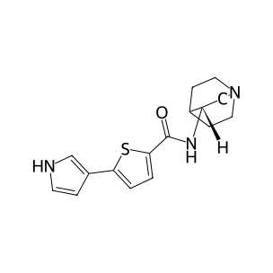 O=C(N[C@H]1CN2CCC1CC2)c1ccc(-c2cc[nH]c2)s1